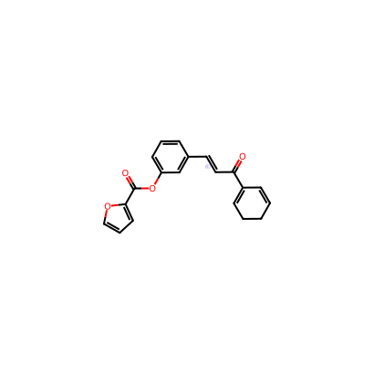 O=C(/C=C/c1cccc(OC(=O)c2ccco2)c1)C1=CCCC=C1